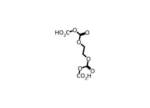 O=C(O)OC(=O)OCCOC(=O)OC(=O)O